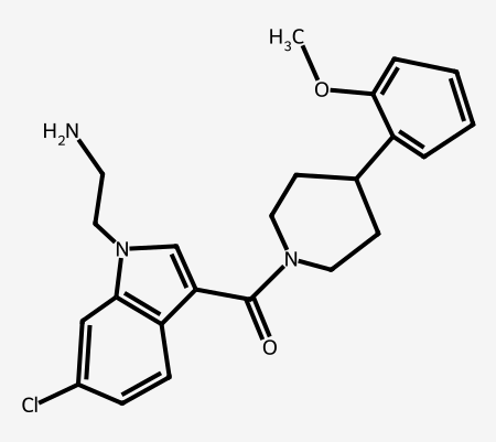 COc1ccccc1C1CCN(C(=O)c2cn(CCN)c3cc(Cl)ccc23)CC1